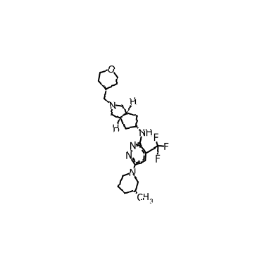 C[C@H]1CCCN(c2cc(C(F)(F)F)c(N[C@@H]3C[C@@H]4CN(CC5CCOCC5)C[C@@H]4C3)nn2)C1